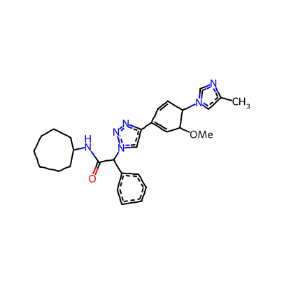 COC1C=C(c2cn(C(C(=O)NC3CCCCCCC3)c3ccccc3)nn2)C=CC1n1cnc(C)c1